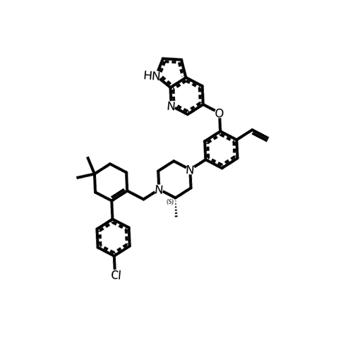 C=Cc1ccc(N2CCN(CC3=C(c4ccc(Cl)cc4)CC(C)(C)CC3)[C@@H](C)C2)cc1Oc1cnc2[nH]ccc2c1